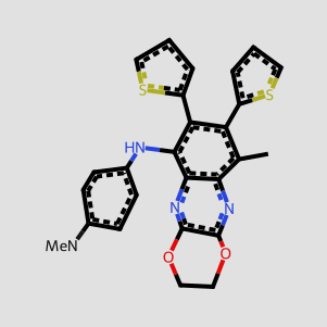 CNc1ccc(Nc2c(-c3cccs3)c(-c3cccs3)c(C)c3nc4c(nc23)OCCO4)cc1